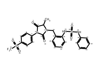 CC1C(=O)N(c2ccc(S(=O)(=O)C(F)(F)F)cc2)C(=O)N1Cc1ccncc1NS(=O)(=O)Nc1ccccc1